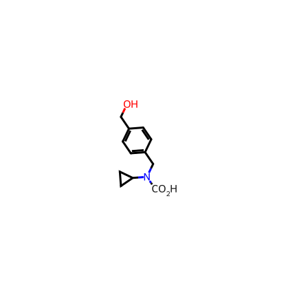 O=C(O)N(Cc1ccc(CO)cc1)C1CC1